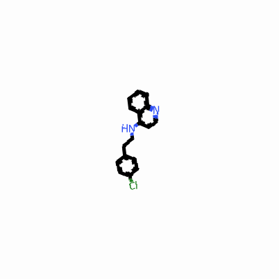 Clc1ccc(CCNc2ccnc3ccccc23)cc1